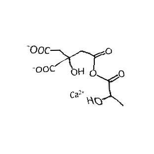 CC(O)C(=O)OC(=O)CC(O)(CC(=O)[O-])C(=O)[O-].[Ca+2]